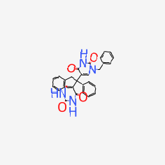 O=c1[nH]cc(C(Cc2ccccc2)(c2ccccc2)c2cn(Cc3ccccc3)c(=O)[nH]c2=O)c(=O)[nH]1